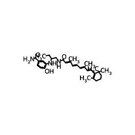 CCC(CNC(=O)/C=C(C)/C=C/C=C(C)/C=C/C1=C(C)CCCC1(C)C)Nc1cc(C(N)=O)ccc1O